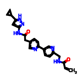 C=CC(=O)NCc1ccc(-c2ccc(CC(=O)Nc3cc(C4CC4)[nH]n3)cn2)cn1